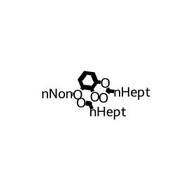 CCCCCCCCCOc1cccc(OC(=O)CCCCCCC)c1OC(=O)CCCCCCC